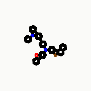 c1ccc(-n2c3ccccc3c3ccc(-c4ccc(N(c5ccc6c(c5)oc5ccccc56)c5ccc6c(c5)sc5ccc7ccccc7c56)cc4)cc32)cc1